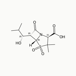 CC(C)[C@@H](O)[C@@H]1C(=O)N2[C@@H](C(=O)O)C(C)(C)S(=O)(=O)[C@H]12